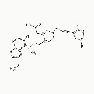 COc1ccc2ncc(Cl)c([C@@H](N)CC[C@@H]3CCN(CC#Cc4cc(F)ccc4F)C[C@@H]3CC(=O)O)c2c1